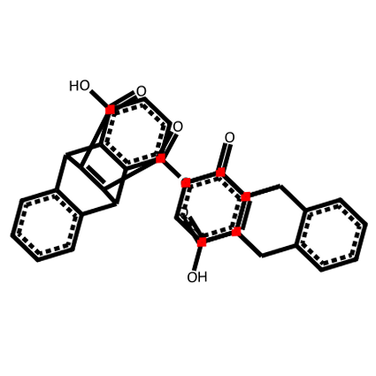 O=C(O)C1=C(C(=O)OC(=O)C2=C(C(=O)O)C3c4ccccc4C2c2ccccc23)C2c3ccccc3C1c1ccccc12